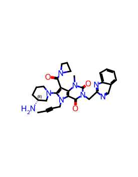 CC#CCn1c(N2CCC[C@@H](N)C2)c(C(=O)N2CCC2)c2c1c(=O)n(Cc1ncc3ccccc3n1)c(=O)n2C